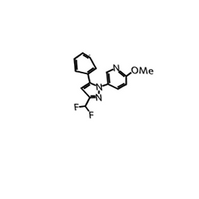 COc1ccc(-n2nc(C(F)F)cc2-c2c[c]ccc2)cn1